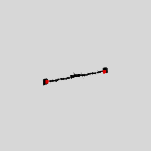 NN(CC(=O)OCCOCCOCCOCCOC12CC3CC(CC(C3)C1)C2)CC(=O)OCCOCCOCCOCCOC12CC3CC(CC(C3)C1)C2